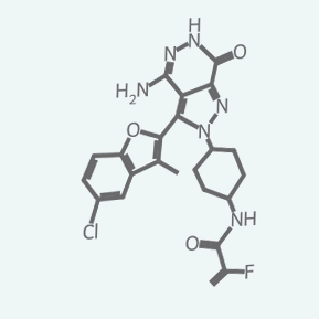 C=C(F)C(=O)NC1CCC(n2nc3c(=O)[nH]nc(N)c3c2-c2oc3ccc(Cl)cc3c2C)CC1